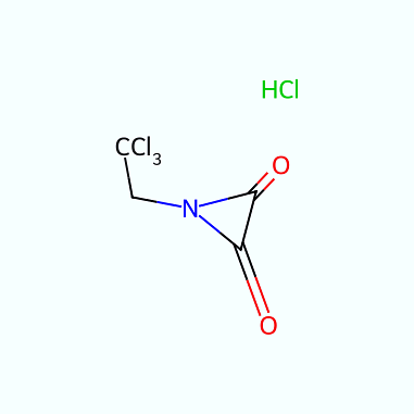 Cl.O=c1c(=O)n1CC(Cl)(Cl)Cl